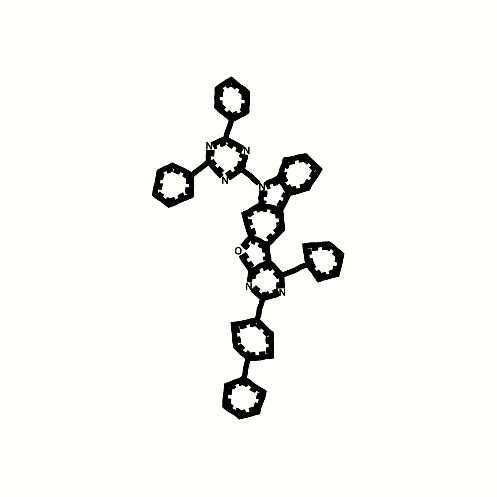 c1ccc(-c2ccc(-c3nc(-c4ccccc4)c4c(n3)oc3cc5c(cc34)c3ccccc3n5-c3nc(-c4ccccc4)nc(-c4ccccc4)n3)cc2)cc1